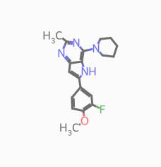 COc1ccc(-c2cc3nc(C)nc(N4CCCCC4)c3[nH]2)cc1F